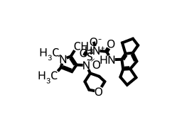 Cc1cc(N(C2CCOCC2)S(=O)(=O)[NH+]([O-])C(=O)Nc2c3c(cc4c2CCC4)CCC3)c(C)n1C